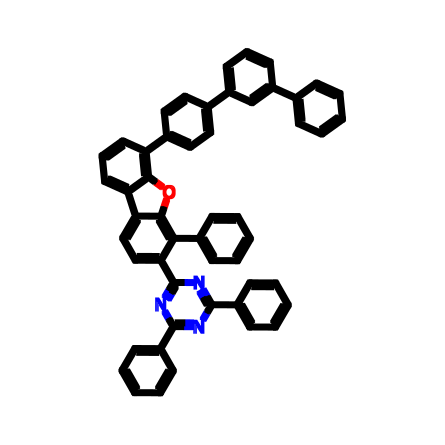 c1ccc(-c2cccc(-c3ccc(-c4cccc5c4oc4c(-c6ccccc6)c(-c6nc(-c7ccccc7)nc(-c7ccccc7)n6)ccc45)cc3)c2)cc1